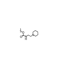 CSOC(=O)NCCN1CCCCC1